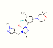 Cc1nn(-c2cc(N3CCOC(C)(C)C3)cc(C(F)(F)F)c2F)c(=O)n1Cc1cnn(C(C)C)c1